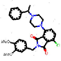 COc1ccc(CN2C(=O)c3c(Cl)ccc(N4CCN(C(C)c5ccccc5)CC4)c3C2=O)cc1OC